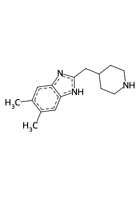 Cc1cc2nc(CC3CCNCC3)[nH]c2cc1C